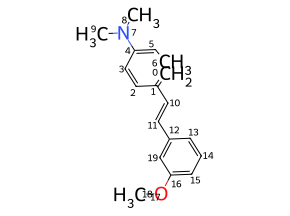 C=C(/C=C\C(=C/C)N(C)C)/C=C/c1cccc(OC)c1